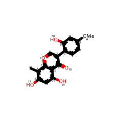 COc1ccc(-c2coc3c(C)c(O)cc(O)c3c2=O)c(O)c1